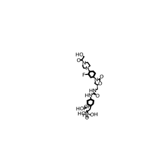 O=C(NC[C@H]1CN(c2ccc(N3CCN(C(=O)CO)CC3)c(F)c2)C(=O)O1)Nc1ccc(CC(O)(P(O)O)[PH](=O)O)cc1